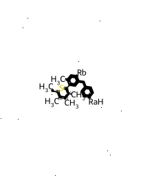 CC[C@H]1S[C@@H](c2cc(Cc3cc[c]([RaH])cc3)[c]([Rb])cc2C)[C@H](C)[C@@H](C)[C@@H]1C